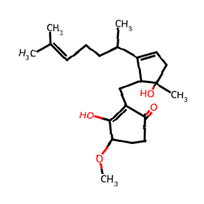 COC1CCC(=O)C(CC2C(C(C)CCC=C(C)C)=CCC2(C)O)=C1O